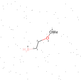 BCCOOC